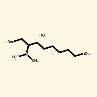 CCCCCCCCCCCCCCCCC(CCCCCCCCCCC)N(C)C.Cl